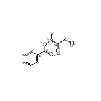 CN(OC(=O)c1ccccc1)C(=O)CCl